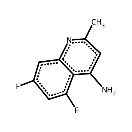 Cc1cc(N)c2c(F)cc(F)cc2n1